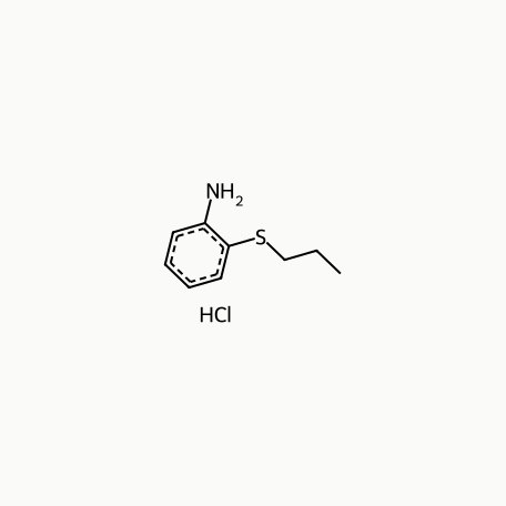 CCCSc1ccccc1N.Cl